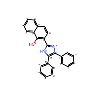 Oc1c(-c2nc(-c3ccccc3)c(-c3ccccc3)[nH]2)ccc2ccccc12